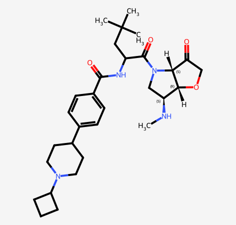 CN[C@H]1CN(C(=O)C(CC(C)(C)C)NC(=O)c2ccc(C3CCN(C4CCC4)CC3)cc2)[C@@H]2C(=O)CO[C@H]12